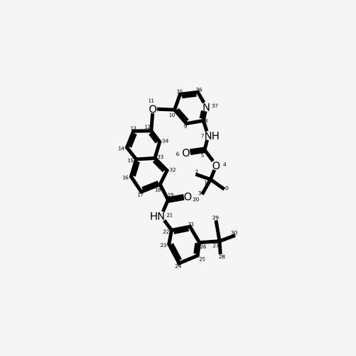 CC(C)(C)OC(=O)Nc1cc(Oc2ccc3ccc(C(=O)Nc4cccc(C(C)(C)C)c4)cc3c2)ccn1